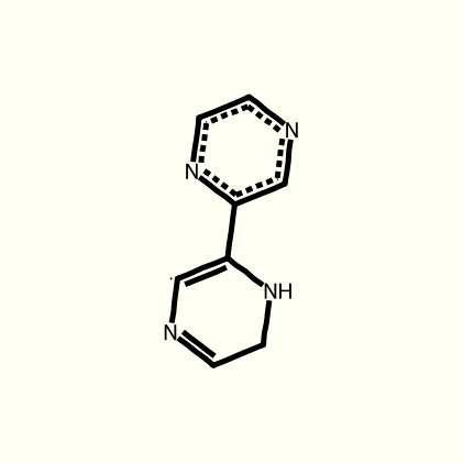 [C]1=C(c2cnccn2)NCC=N1